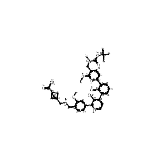 COc1cc(-c2nccc(-c3cccc(-c4ccc(CN(C)C(=O)OC(C)(C)C)c(OC)n4)c3Cl)c2Cl)ccc1CNCC12CC(C(=O)O)(C1)C2